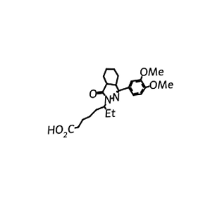 CCC(CCCCC(=O)O)N1N=C(c2ccc(OC)c(OC)c2)C2CCCCC2C1=O